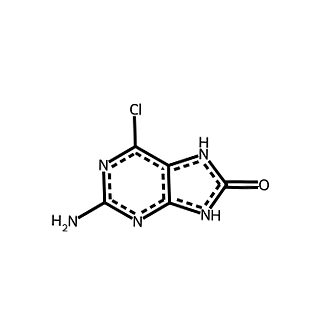 Nc1nc(Cl)c2[nH]c(=O)[nH]c2n1